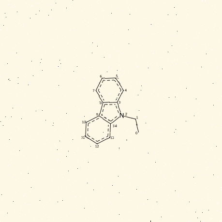 CCn1c2c[c]ccc2c2ccccc21